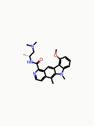 COc1cccc2c1c1cc3c(C(=O)N[C@H](C)CN(C)C)nccc3c(C)c1n2C